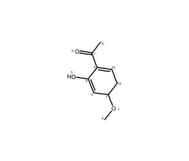 COC1C=C(O)C(C(C)=O)=CC1